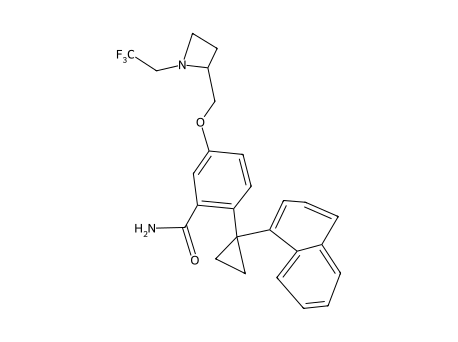 NC(=O)c1cc(OCC2CCN2CC(F)(F)F)ccc1C1(c2cccc3ccccc23)CC1